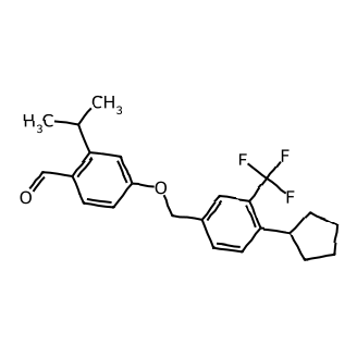 CC(C)c1cc(OCc2ccc(C3CCCC3)c(C(F)(F)F)c2)ccc1C=O